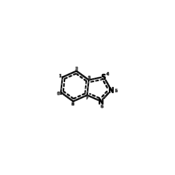 [c]1ccc2snnc2c1